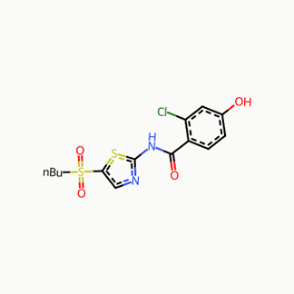 CCCCS(=O)(=O)c1cnc(NC(=O)c2ccc(O)cc2Cl)s1